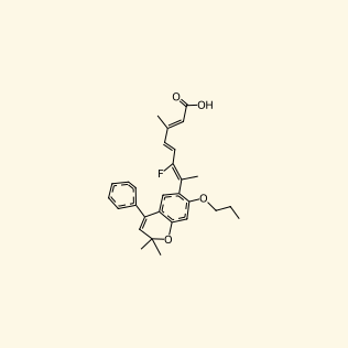 CCCOc1cc2c(cc1C(C)=C(F)C=CC(C)=CC(=O)O)C(c1ccccc1)=CC(C)(C)O2